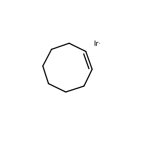 C1=CCCCCCC1.[Ir]